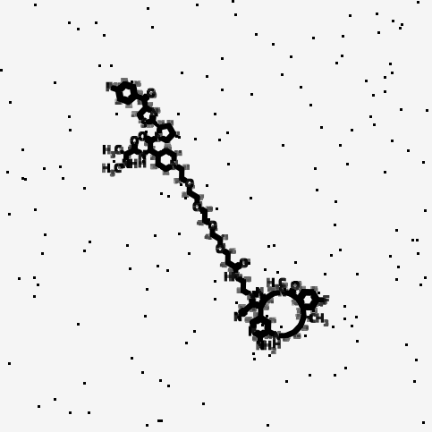 CN[C@H](C)C(=O)N[C@@H](C(=O)N1CCC[C@@H]1C1=NC(C(=O)c2ccc(F)cc2)CS1)C1CCN(CCOCCOCCOCCOCCC(=O)NCCn2nc3c(c2C#N)-c2cnc(N)c(c2)NCCC[C@@H](C)c2cc(F)ccc2C(=O)N(C)C3)CC1